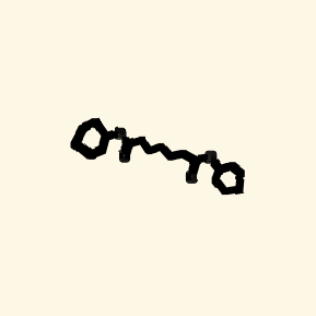 O=C(CCCCCC(=O)OC1CCCCC1)OC1CCCCC1